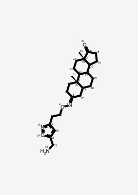 C[C@]12CCC(=NOCCc3cc(CN)on3)CC1CCC1C2CC[C@]2(C)C(=O)CCC12